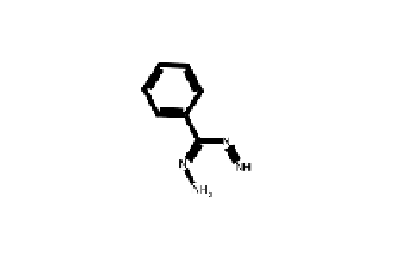 N=NC(=NN)c1ccccc1